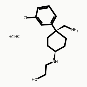 Cl.Cl.NC[C@]1(c2cccc(Cl)c2)CC[C@H](NCCO)CC1